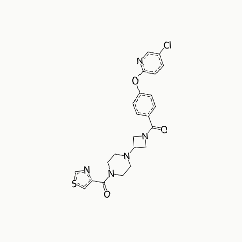 O=C(c1ccc(Oc2ccc(Cl)cn2)cc1)N1CC(N2CCN(C(=O)c3cscn3)CC2)C1